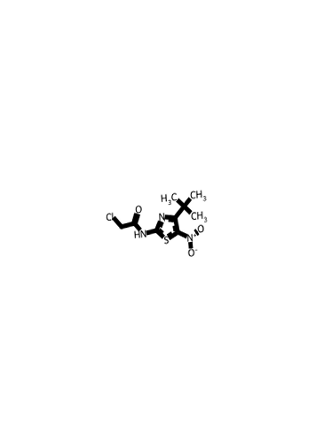 CC(C)(C)c1nc(NC(=O)CCl)sc1[N+](=O)[O-]